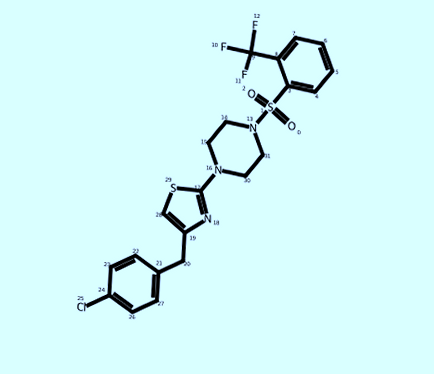 O=S(=O)(c1ccccc1C(F)(F)F)N1CCN(c2nc(Cc3ccc(Cl)cc3)cs2)CC1